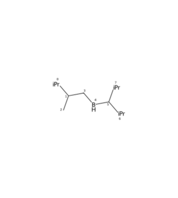 CC(C)C(C)CBC(C(C)C)C(C)C